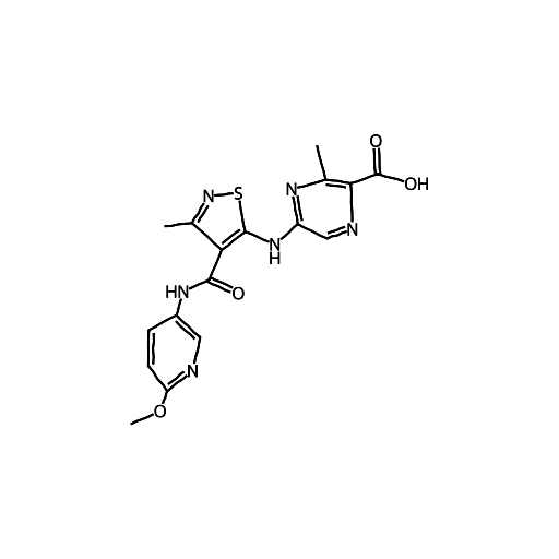 COc1ccc(NC(=O)c2c(C)nsc2Nc2cnc(C(=O)O)c(C)n2)cn1